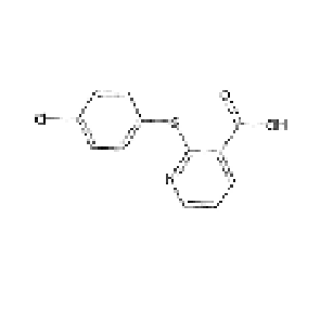 O=C(O)c1cccnc1Sc1ccc(Cl)cc1